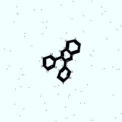 [c]1ccc2cc(-c3ccccc3)c(-c3ccccc3)cc2c1